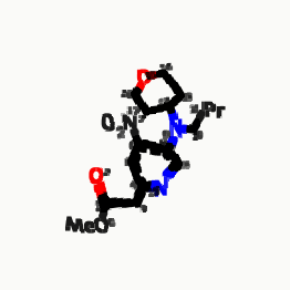 COC(=O)Cc1cc([N+](=O)[O-])c(N(CC(C)C)C2CCOCC2)cn1